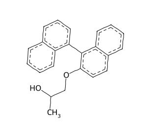 CC(O)COc1ccc2ccccc2c1-c1cccc2ccccc12